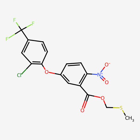 CSCOC(=O)c1cc(Oc2ccc(C(F)(F)F)cc2Cl)ccc1[N+](=O)[O-]